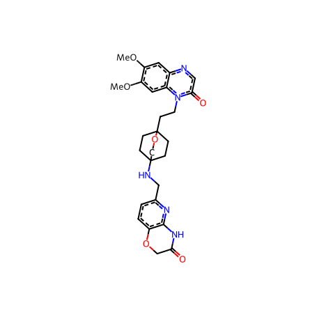 COc1cc2ncc(=O)n(CCC34CCC(NCc5ccc6c(n5)NC(=O)CO6)(CC3)CO4)c2cc1OC